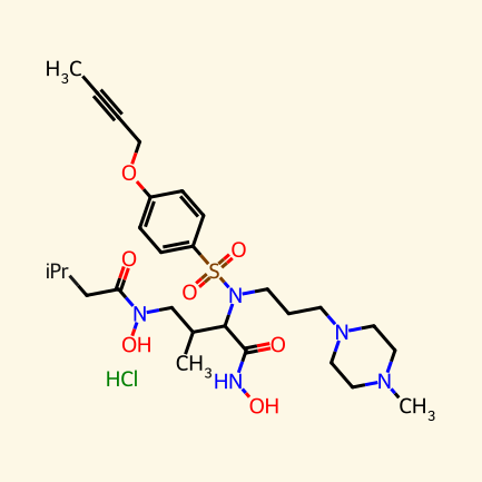 CC#CCOc1ccc(S(=O)(=O)N(CCCN2CCN(C)CC2)C(C(=O)NO)C(C)CN(O)C(=O)CC(C)C)cc1.Cl